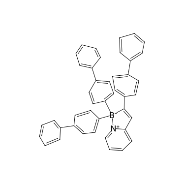 C1=C(c2ccc(-c3ccccc3)cc2)[B-](c2ccc(-c3ccccc3)cc2)(c2ccc(-c3ccccc3)cc2)[n+]2ccccc21